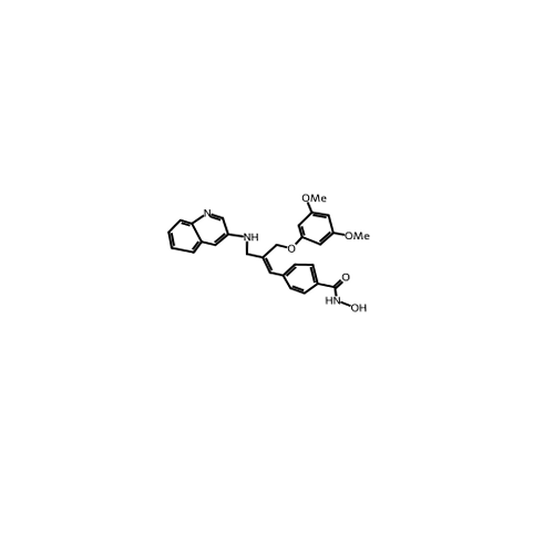 COc1cc(OC)cc(OC/C(=C\c2ccc(C(=O)NO)cc2)CNc2cnc3ccccc3c2)c1